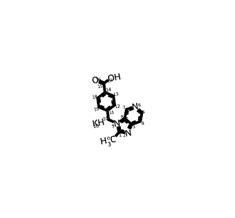 Cc1nc2ccncc2n1Cc1ccc(C(=O)O)cc1.[KH]